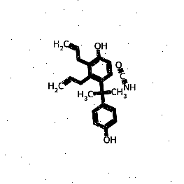 C=CCc1c(O)ccc(C(C)(C)c2ccc(O)cc2)c1CC=C.N=C=O